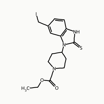 CCOC(=O)N1CCC(n2c(=S)[nH]c3ccc(CI)cc32)CC1